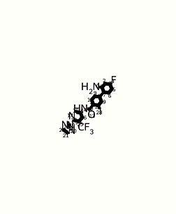 Nc1cc(F)ccc1-c1ccc(C(=O)Nc2cnc(-n3nccn3)c(C(F)(F)F)c2)c(I)c1